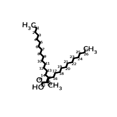 CCCCCCCCCCCCCCC/C(CCCCCCCCCCCC)=C(/C)C(=O)O